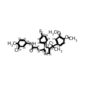 COc1ccc(C(C)(C)c2cnc(SCC(=O)Nc3ccc(C)c(Cl)c3)n2-c2ccc(F)cc2)cc1OC